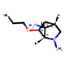 CN1C[C@H]2C[C@H](OCCC#N)[C@@H]1[C@@H]2N